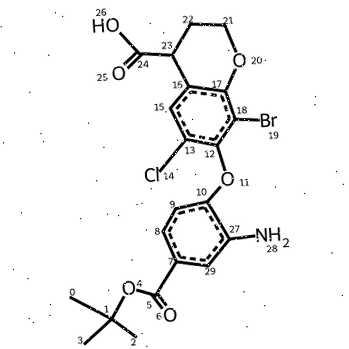 CC(C)(C)OC(=O)c1ccc(Oc2c(Cl)cc3c(c2Br)OCCC3C(=O)O)c(N)c1